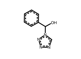 OC(c1ccccc1)n1cnnn1